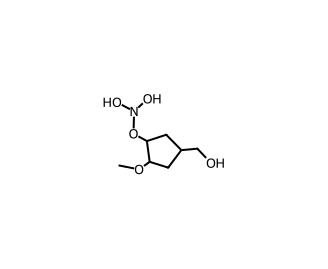 COC1CC(CO)CC1ON(O)O